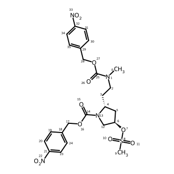 CN(CC[C@@H]1C[C@@H](OS(C)(=O)=O)CN1C(=O)OCc1ccc([N+](=O)[O-])cc1)C(=O)OCc1ccc([N+](=O)[O-])cc1